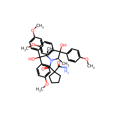 COc1ccc(C(O)(c2ccc(OC)cc2)[C@@H](C)N(C(=O)C2(C(N)=O)CCCC2)[C@H](C)C(O)(c2ccc(OC)cc2)c2ccc(OC)cc2)cc1